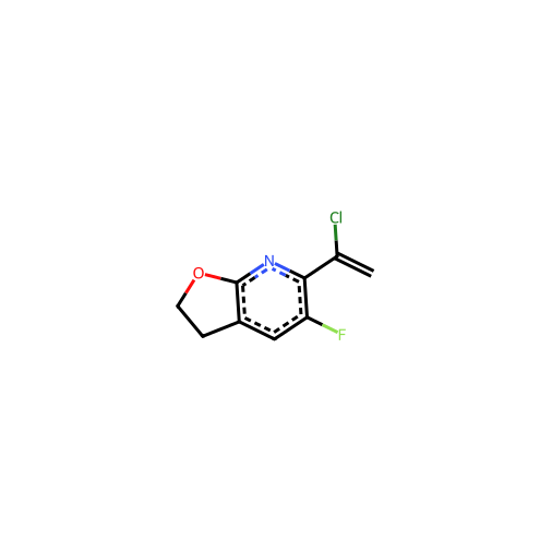 C=C(Cl)c1nc2c(cc1F)CCO2